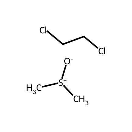 C[S+](C)[O-].ClCCCl